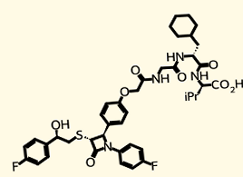 CC(C)[C@@H](NC(=O)[C@@H](CC1CCCCC1)NC(=O)CNC(=O)COc1ccc([C@@H]2[C@@H](SC[C@H](O)c3ccc(F)cc3)C(=O)N2c2ccc(F)cc2)cc1)C(=O)O